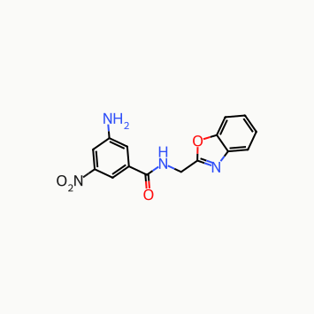 Nc1cc(C(=O)NCc2nc3ccccc3o2)cc([N+](=O)[O-])c1